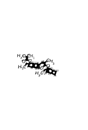 C=C(C)C(=O)OC1(CC)CC2CC1C1C3CC(CC3C=C(C)C(=O)OC3(CC)CC4CC3C3CCC43)C21